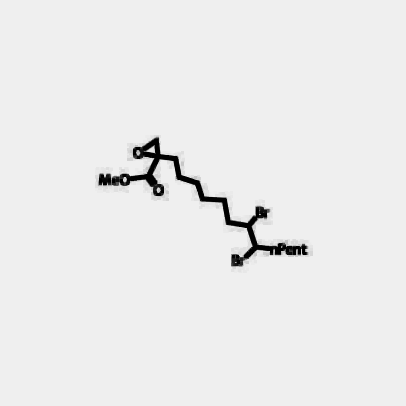 CCCCCC(Br)C(Br)CCCCCCC1(C(=O)OC)CO1